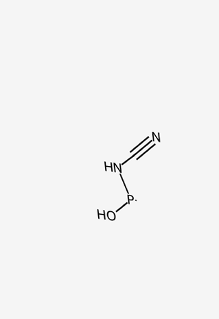 N#CN[P]O